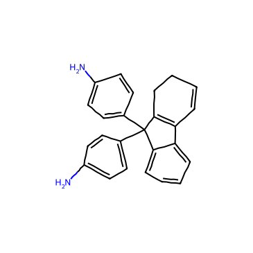 Nc1ccc(C2(c3ccc(N)cc3)C3=C(C=CCC3)c3ccccc32)cc1